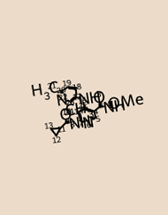 CONC(=O)c1cnc(NC(=O)C2CC2)cc1Nc1ccc(C)nc1C